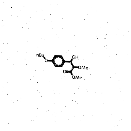 CCCCOc1ccc(C(O)C(OC)C(=O)OC)cc1